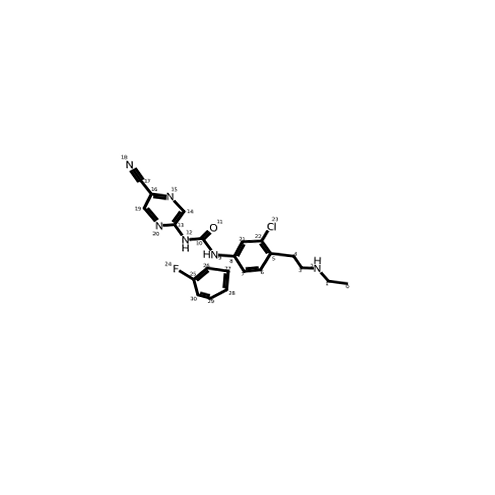 CCNCCc1ccc(NC(=O)Nc2cnc(C#N)cn2)cc1Cl.Fc1ccccc1